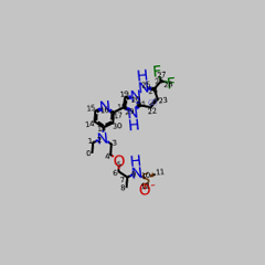 CCN(CCOCC(C)N[S+](C)[O-])c1ccnc(-c2cnc(/C=C\C(=N)C(F)F)[nH]2)c1